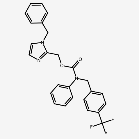 O=C(OCc1nccn1Cc1ccccc1)N(Cc1ccc(C(F)(F)F)cc1)c1ccccc1